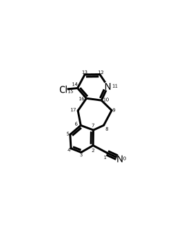 N#Cc1cccc2c1CCc1nccc(Cl)c1C2